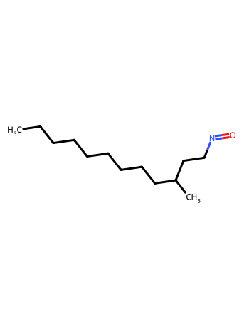 CCCCCCCCCC(C)CCN=O